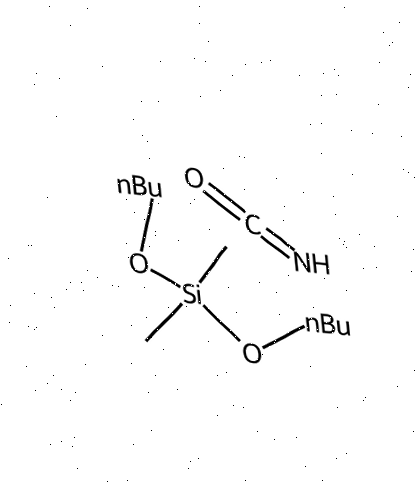 CCCCO[Si](C)(C)OCCCC.N=C=O